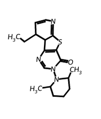 CCC1C=CN=C2Sc3c(ncn(N4C(C)CCCC4C)c3=O)C21